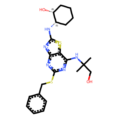 CC(C)(CO)Nc1nc(SCc2ccccc2)nc2nc(N[C@H]3CCCC[C@H]3O)sc12